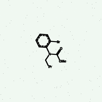 COC(=O)N(CC(C)C)c1ccccc1Br